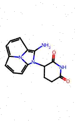 NC1=C2C=CC=C3C=CC=C(N32)N1C1CCC(=O)NC1=O